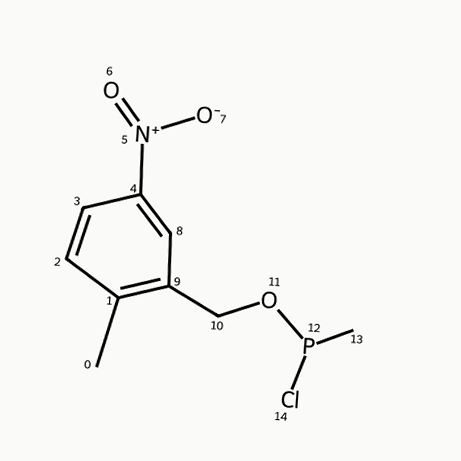 Cc1ccc([N+](=O)[O-])cc1COP(C)Cl